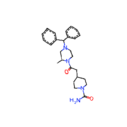 CC1CN(C(c2ccccc2)c2ccccc2)CCN1C(=O)CC1CCN(C(N)=O)CC1